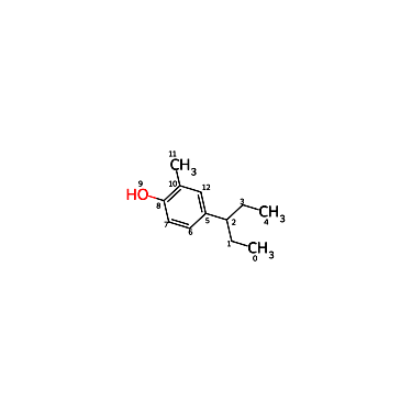 CCC(CC)c1ccc(O)c(C)c1